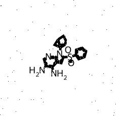 Nc1cnc2c(cc(S(=O)(=O)c3ccccc3)n2C2CC3CCC2C3)c1N